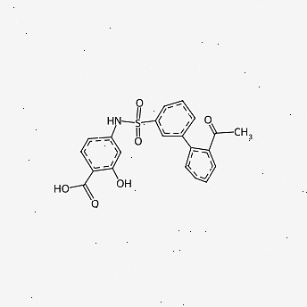 CC(=O)c1ccccc1-c1cccc(S(=O)(=O)Nc2ccc(C(=O)O)c(O)c2)c1